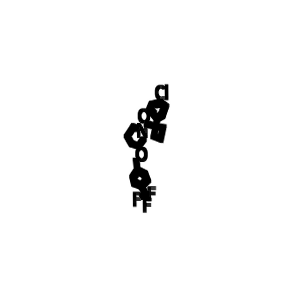 O=C(N1CCCC(OCc2ccc(C(F)(F)F)cc2)C1)C1(c2ccc(Cl)cc2)CCC1